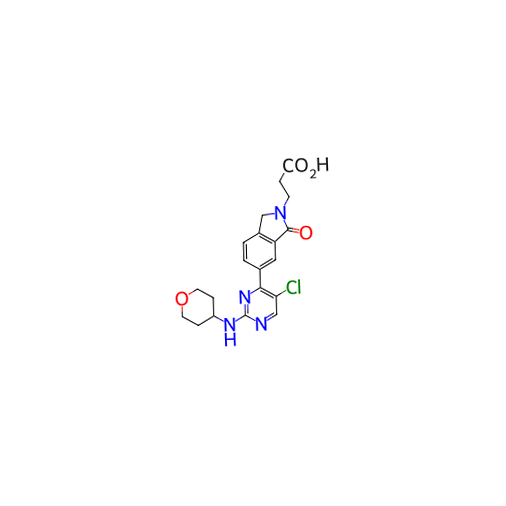 O=C(O)CCN1Cc2ccc(-c3nc(NC4CCOCC4)ncc3Cl)cc2C1=O